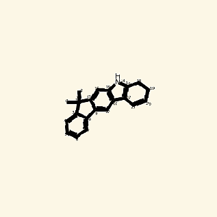 CC1(C)c2ccccc2-c2cc3c4c([nH]c3cc21)CCC=C4